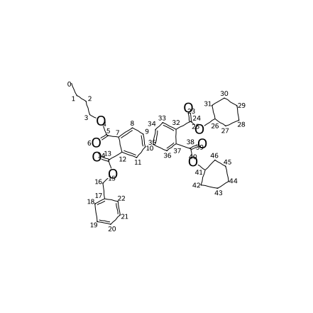 CCCCOC(=O)c1ccccc1C(=O)OCc1ccccc1.O=C(OC1CCCCC1)c1ccccc1C(=O)OC1CCCCC1